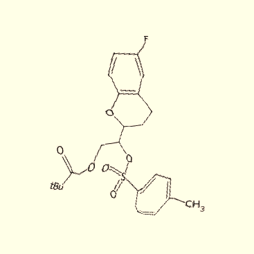 Cc1ccc(S(=O)(=O)OC(COC(=O)C(C)(C)C)C2CCc3cc(F)ccc3O2)cc1